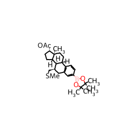 CSC[C@@H]1Cc2cc(B3OC(C)(C)C(C)(C)O3)ccc2[C@H]2CC[C@]3(C)[C@@H](OC(C)=O)CC[C@H]3[C@H]12